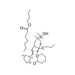 CCCCOC(=O)CCCCCC[C@H]1CC[C@@H](OC2CCCCO2)[C@@H]1/C=C/C(CC(C)(C)[Si](C)(C)O)C(F)(F)CCCC